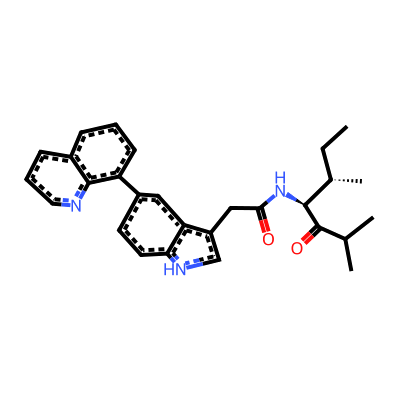 CC[C@H](C)[C@H](NC(=O)Cc1c[nH]c2ccc(-c3cccc4cccnc34)cc12)C(=O)C(C)C